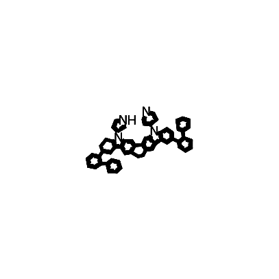 C1=C(c2ccccc2-c2ccccc2)CCc2c1c1cc3c(cc1n2-c1cc[nH]c1)-c1cc2c(cc1CC3)c1cc(-c3ccccc3-c3ccccc3)ccc1n2-c1ccncc1